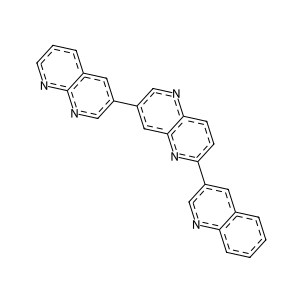 c1ccc2ncc(-c3ccc4ncc(-c5cnc6ncccc6c5)cc4n3)cc2c1